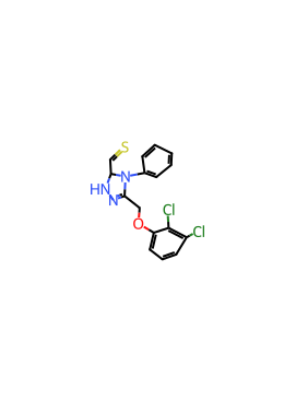 S=CC1NN=C(COc2cccc(Cl)c2Cl)N1c1ccccc1